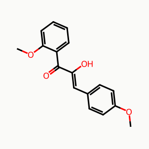 COc1ccc(C=C(O)C(=O)c2ccccc2OC)cc1